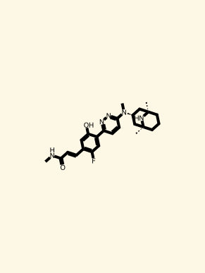 CNC(=O)/C=C/c1cc(O)c(-c2ccc(N(C)[C@H]3C[C@]4(C)CCC[C@](C)(C3)N4)nn2)cc1F